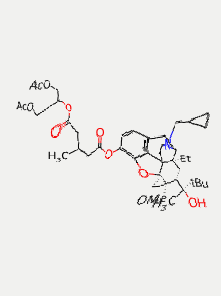 CC[C@]12C[C@H]([C@](C)(O)C(C)(C)C)[C@@]3(OC)C[C@@]34Oc3c(OC(=O)CC(C)CC(=O)OC(COC(C)=O)COC(C)=O)ccc5c3[C@]14CCN(CC1CC1)C2C5